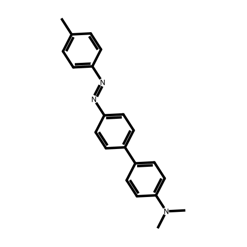 Cc1ccc(N=Nc2ccc(-c3ccc(N(C)C)cc3)cc2)cc1